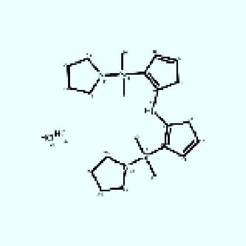 C[Si](C)(C1=[C]([Hf][C]2=C([Si](C)(C)N3CCCC3)C=CC2)CC=C1)N1CCCC1.Cl.Cl